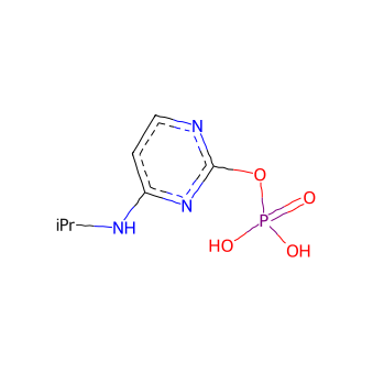 CC(C)Nc1ccnc(OP(=O)(O)O)n1